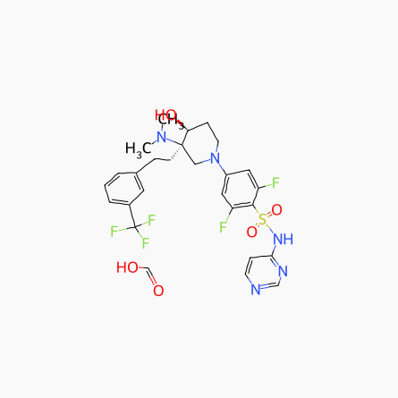 CN(C)[C@]1(CCc2cccc(C(F)(F)F)c2)CN(c2cc(F)c(S(=O)(=O)Nc3ccncn3)c(F)c2)CC[C@@H]1O.O=CO